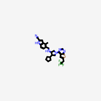 Cc1c(CNC2CN(c3ncnc4sc(CC(F)(F)F)cc34)CC2C2CCCC2)ccc2[nH]c(C#N)cc12